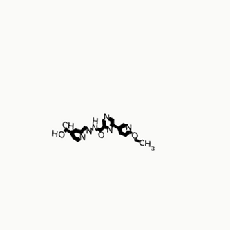 CCOc1ccc(-c2cncc(C(=O)N/N=C/c3cc(C(C)O)ccn3)n2)cn1